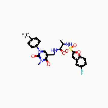 CC(NS(=O)(=O)c1cc2cc(F)ccc2o1)C(=O)NCc1cn(-c2ccc(C(F)(F)F)cc2)c(=O)n(C)c1=O